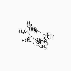 CCCCCCCCCCC(=O)O.CCCCCCCCCCCC(=O)ON(CCCC)C(=O)O.CCCCNOC(=O)CCCCCCCCC(C)C